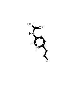 O=C(O)Nc1ccc(CCI)nc1